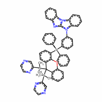 C[Si](C)(c1cnccn1)C1([Si](C)(C)c2cnccn2)c2ccccc2Oc2c1cccc2[Si](c1ccccc1)(c1ccccc1)c1cccc(-n2c3ccccc3n3c4ccccc4nc23)c1